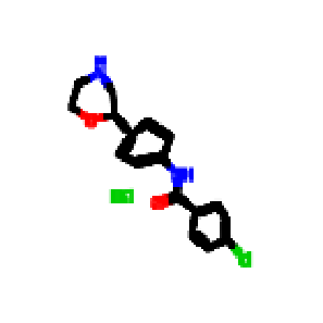 Cl.O=C(Nc1ccc(C2CNCCO2)cc1)c1ccc(Cl)cc1